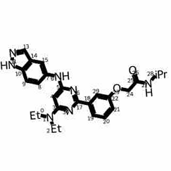 CCN(CC)c1cc(Nc2ccc3[nH]ncc3c2)nc(-c2cccc(OCC(=O)NC(C)C)c2)n1